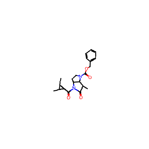 CC1C(=O)N(C(=O)C2C(C)C2C)C2CCN(C(=O)OCc3ccccc3)C12